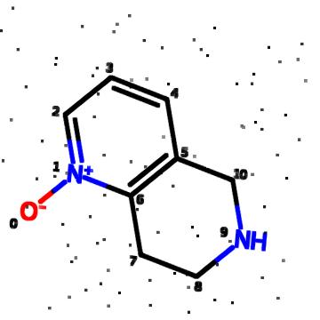 [O-][n+]1cccc2c1CCNC2